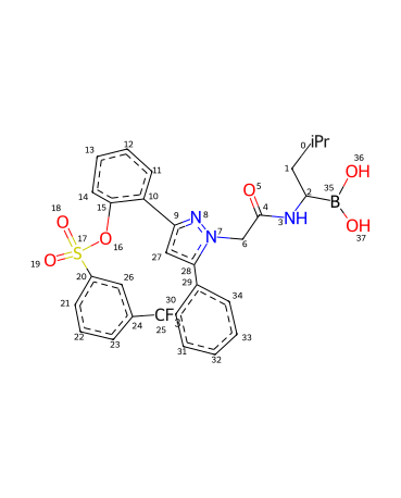 CC(C)CC(NC(=O)Cn1nc(-c2ccccc2OS(=O)(=O)c2cccc(C(F)(F)F)c2)cc1-c1ccccc1)B(O)O